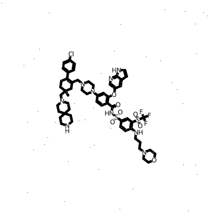 CC1(CN2CCC3(CCNCC3)CC2)CCC(c2ccc(Cl)cc2)=C(CN2CCN(c3ccc(C(=O)NS(=O)(=O)c4ccc(NCCCN5CCOCC5)c(S(=O)(=O)C(F)(F)F)c4)c(Oc4cnc5[nH]ccc5c4)c3)CC2)C1